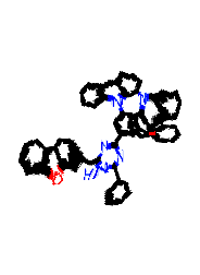 c1ccc(C2=NC(c3cc(-c4ccccc4)cc(-n4c5ccccc5c5cccc(-n6c7ccccc7c7ccccc76)c54)c3)=NC(c3ccc4c(c3)oc3ccccc34)N2)cc1